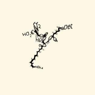 CCCC/C=C\C/C=C\CCCCCCCC(=O)O[C@H](COC(=O)CCCCCCCCCCCCCCC)COP(=O)(O)OC[C@H](N)C(=O)O